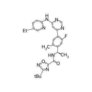 CCc1ccc(Nc2cc(-c3cc(C)c([C@@H](C)NC(=O)c4nc(C(C)(C)C)no4)cc3F)ncn2)nc1